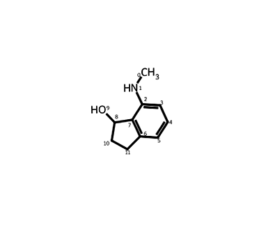 CNc1cccc2c1C(O)CC2